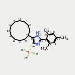 Cc1cc(C)c(C2=NC=C(C3CCCCCCCCCCC3)[NH2+]2)c(C)c1.F[B-](F)(F)F